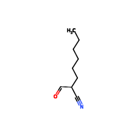 CCCCCCC(C#N)C=O